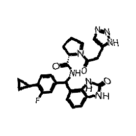 O=C(NC(c1ccc(C2CC2)c(F)c1)c1cccc2[nH]c(=O)[nH]c12)[C@@H]1CCCN1C(=O)Cc1cnn[nH]1